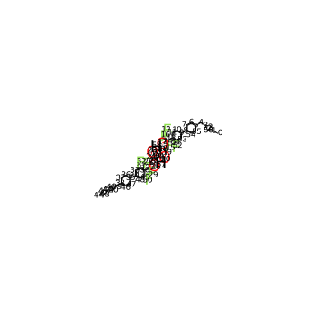 CC1C2C(Cc3ccc(-c4cc(F)c(C(F)(F)O[C@@H]5CO[C@@H]6[C@H]5OC[C@@H]6OC(F)(F)c5c(F)cc(-c6ccc(C7C8C7C87C8CC87)cc6)cc5F)c(F)c4)cc3)C12